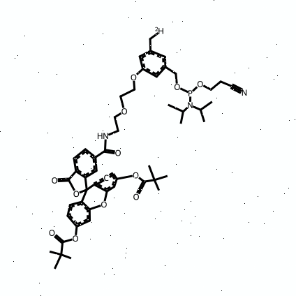 [2H]Cc1cc(COP(OCCC#N)N(C(C)C)C(C)C)cc(OCCOCCNC(=O)c2ccc3c(c2)C2(OC3=O)c3ccc(OC(=O)C(C)(C)C)cc3Oc3cc(OC(=O)C(C)(C)C)ccc32)c1